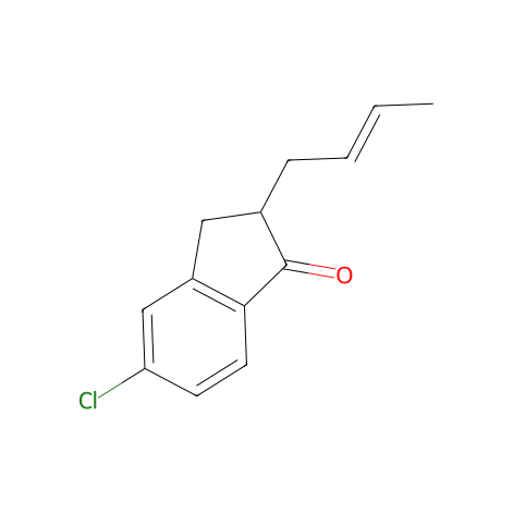 CC=CCC1Cc2cc(Cl)ccc2C1=O